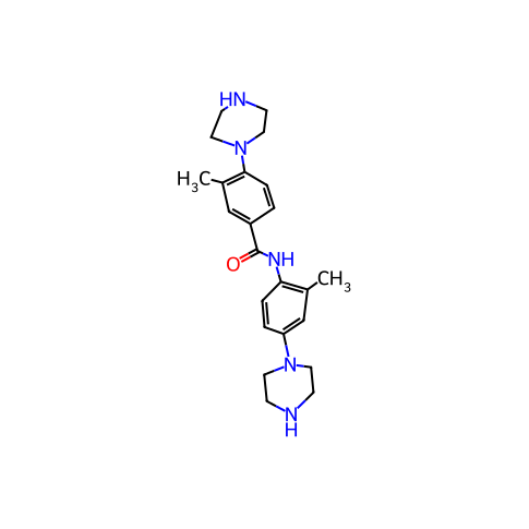 Cc1cc(N2CCNCC2)ccc1NC(=O)c1ccc(N2CCNCC2)c(C)c1